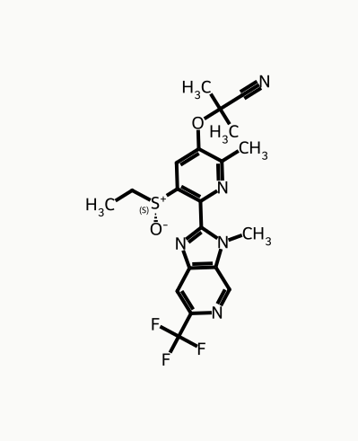 CC[S@@+]([O-])c1cc(OC(C)(C)C#N)c(C)nc1-c1nc2cc(C(F)(F)F)ncc2n1C